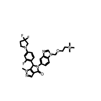 Cn1ncc2c1C(c1ccc(N3CCC(F)(F)C3)cc1F)N(c1ccc3c(c1)ncn3COCC[Si](C)(C)C)C2=O